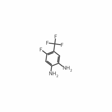 Nc1cc(F)c(C(F)(F)F)cc1N